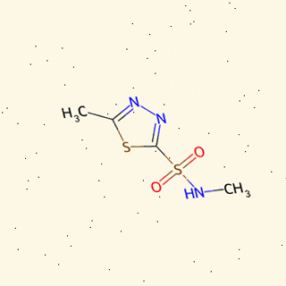 CNS(=O)(=O)c1nnc(C)s1